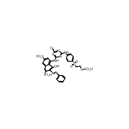 O=S(=O)(O)OCCS(=O)(=O)c1ccc(Nc2nc(Cl)nc(Nc3cc(S(=O)(=O)O)cc4cc(S(=O)(=O)O)c(N=Nc5ccccc5)c(O)c34)n2)cc1